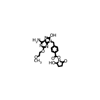 COCCOc1nc(N)c2nc(O)n(Cc3ccc(C(=O)ON4C(=O)CCC4O)cc3)c2n1